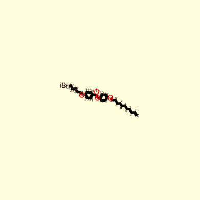 C=CCCCCCCCCCOc1ccc(OC(=O)c2ccc(OCCCCCC(C)CC)cc2)cc1